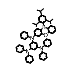 CC(C)c1cc(C(C)C)c(B2c3ccccc3Oc3cc(N(c4ccccc4)c4cc(N(c5ccccc5)c5ccccc5)cc(N(c5ccccc5)c5ccccc5)c4)ccc32)c(C(C)C)c1